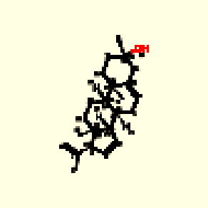 C=C(C)[C@H]1C=C[C@H]2[C@@H]3CC=C4C[C@@](C)(O)CC[C@]4(C)[C@H]3CC[C@]12C